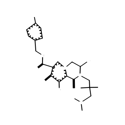 CN(C)CC(C)(C)CN1C(=O)c2c(O)c(=O)c(C(=O)NCc3ccc(F)cc3)cn2CC1O